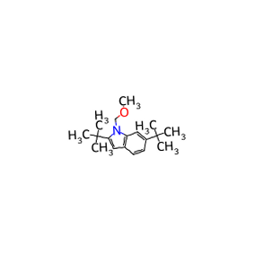 COCn1c(C(C)(C)C)cc2ccc(C(C)(C)C)cc21